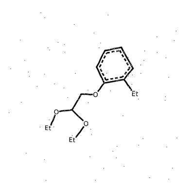 CCOC(COc1ccccc1CC)OCC